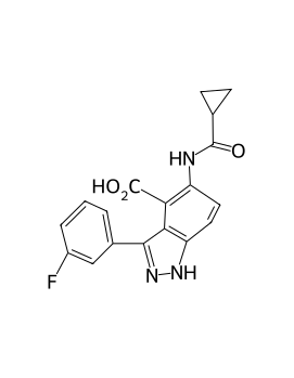 O=C(O)c1c(NC(=O)C2CC2)ccc2[nH]nc(-c3cccc(F)c3)c12